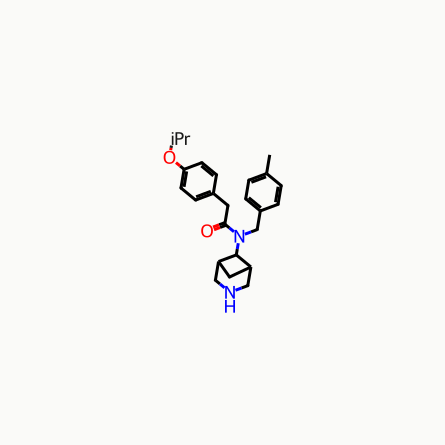 Cc1ccc(CN(C(=O)Cc2ccc(OC(C)C)cc2)C2C3CNCC2C3)cc1